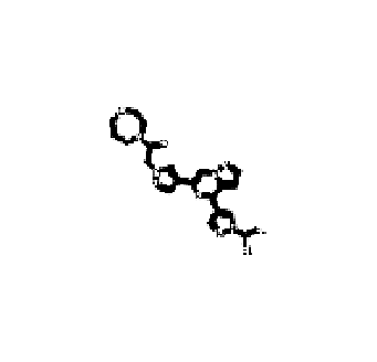 CCC(CC)n1cc(-c2nc(-c3cnn(CC(=O)N4CCCOCC4)c3)cn3nccc23)cn1